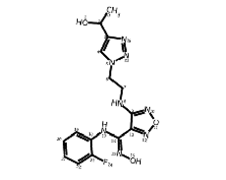 CC(O)c1cn(CCNc2nonc2C(=NO)Nc2ccccc2F)nn1